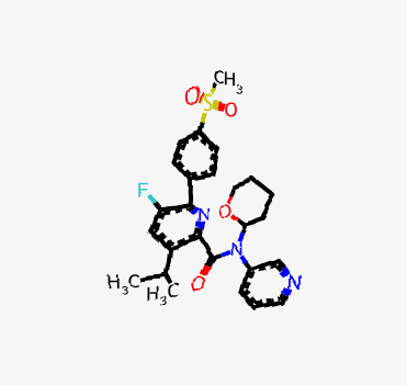 CC(C)c1cc(F)c(-c2ccc(S(C)(=O)=O)cc2)nc1C(=O)N(c1cccnc1)C1CCCCO1